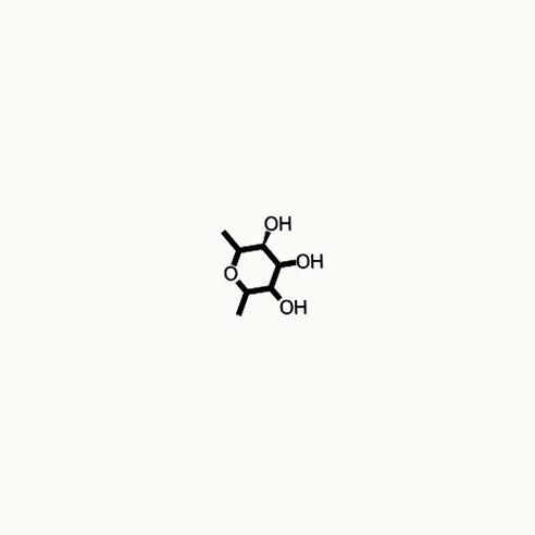 CC1OC(C)[C@@H](O)C(O)C1O